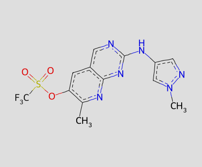 Cc1nc2nc(Nc3cnn(C)c3)ncc2cc1OS(=O)(=O)C(F)(F)F